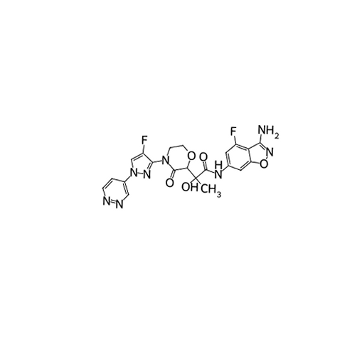 CC(O)(C(=O)Nc1cc(F)c2c(N)noc2c1)C1OCCN(c2nn(-c3ccnnc3)cc2F)C1=O